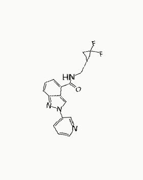 O=C(NCC1CC1(F)F)c1cccc2nn(-c3cccnc3)cc12